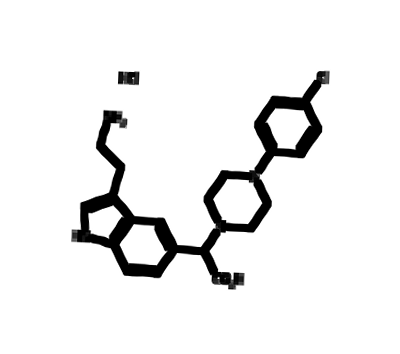 Cl.NCCc1c[nH]c2ccc(C(C(=O)O)N3CCN(c4ccc(Cl)cc4)CC3)cc12